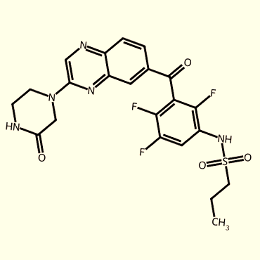 CCCS(=O)(=O)Nc1cc(F)c(F)c(C(=O)c2ccc3ncc(N4CCNC(=O)C4)nc3c2)c1F